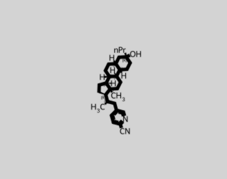 CCC[C@@]1(O)CC[C@H]2[C@H](CC[C@@H]3[C@@H]2CC[C@]2(C)[C@@H]([C@H](C)Cc4ccc(C#N)nc4)CC[C@@H]32)C1